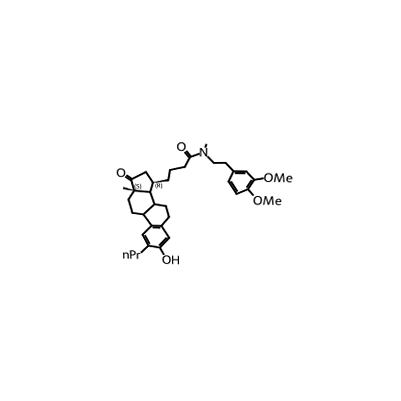 CCCc1cc2c(cc1O)CCC1C2CC[C@]2(C)C(=O)C[C@@H](CCCC(=O)N(C)CCc3ccc(OC)c(OC)c3)C12